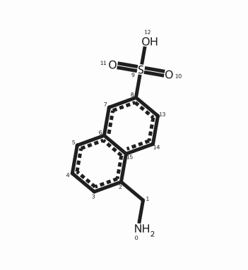 NCc1cccc2cc(S(=O)(=O)O)ccc12